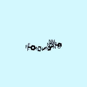 Nc1nc2c(ccn2CCN2CCN(c3ccc(C(F)(F)F)cc3)CC2)c2nc(-c3ccco3)nn12